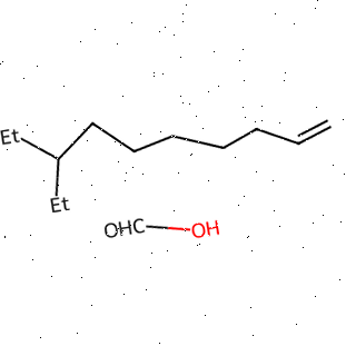 C=CCCCCCC(CC)CC.O=CO